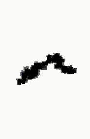 C=C=C(CCCCCCBC(=C)c1ccc2cc(CC(=C)c3ccc(C)c(/C=C\C(=C)CCC(C)C)c3)ccc2c1)c1ccc2cc(CC(=C)c3ccc(C=C)c(CCC(C)BCC(C)CC)c3)ccc2c1